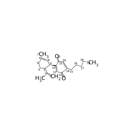 C=C(C)C1CCC(C)=C[C@H]1C1=CC(=O)C(CCCCC)=CC1=O